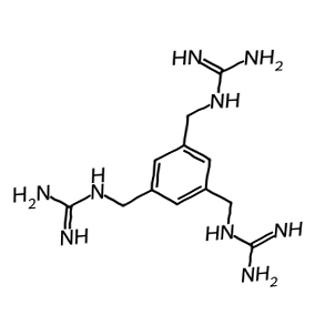 N=C(N)NCc1cc(CNC(=N)N)cc(CNC(=N)N)c1